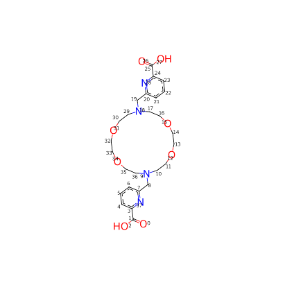 O=C(O)c1cccc(CN2CCOCCOCCN(Cc3cccc(C(=O)O)n3)CCOCCOCC2)n1